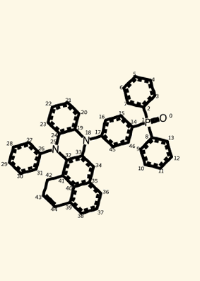 O=P(c1ccccc1)(c1ccccc1)c1ccc(N2c3ccccc3N(c3ccccc3)c3c2cc2cccc4c2c3CC=C4)cc1